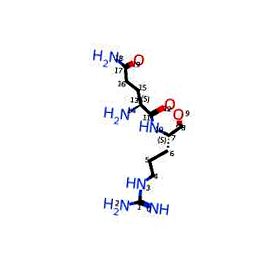 N=C(N)NCCC[C@@H]([C]=O)NC(=O)[C@@H](N)CCC(N)=O